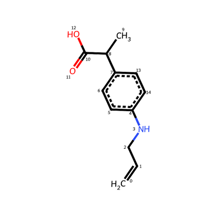 C=CCNc1ccc(C(C)C(=O)O)cc1